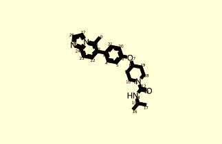 Cc1c(-c2ccc(OC3CCN(C(=O)NC(C)C)CC3)cc2)ccc2nccn12